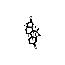 CC1[C@@H]2[C@@H](CC[C@]3(C)CC(=O)C[C@@H]23)[C@@]2(C)CCC(=O)C=C2N1C